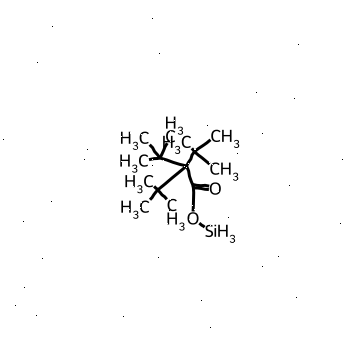 CC(C)(C)C(C(=O)O[SiH3])(C(C)(C)C)C(C)(C)C